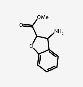 COC(=O)C1Oc2ccccc2C1N